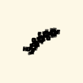 CCN(C[C@@H]1CN(c2ccc(N3CCN(c4ccc(F)cc4)C3=O)c(F)c2)C(=O)O1)C(O)=S